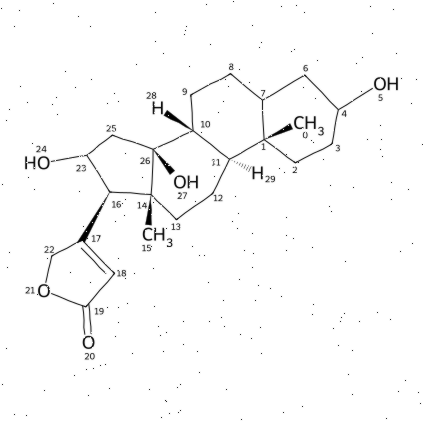 C[C@]12CCC(O)CC1CC[C@@H]1[C@@H]2CC[C@]2(C)[C@@H](C3=CC(=O)OC3)C(O)C[C@]12O